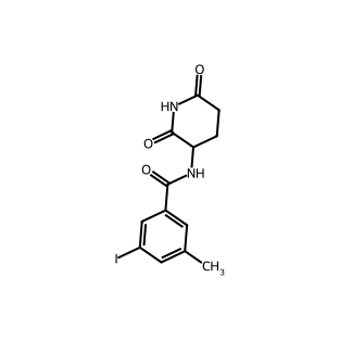 Cc1cc(I)cc(C(=O)NC2CCC(=O)NC2=O)c1